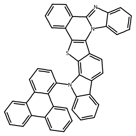 c1ccc2c(c1)nc1c3ccccc3c3sc4c(ccc5c6ccccc6n(-c6cccc7c8ccccc8c8ccccc8c67)c54)c3n21